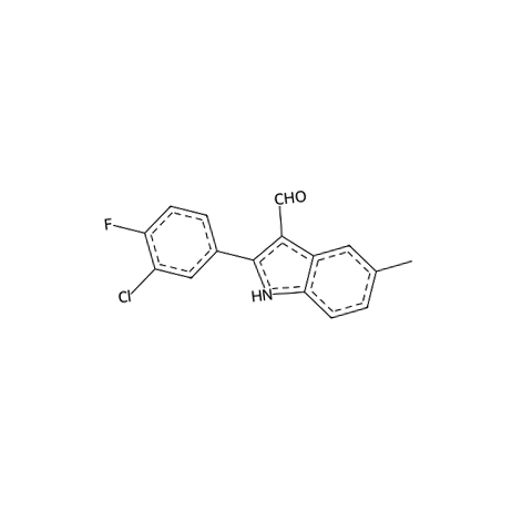 Cc1ccc2[nH]c(-c3ccc(F)c(Cl)c3)c(C=O)c2c1